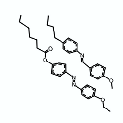 CCCCCCC(=O)Oc1ccc(N=Nc2ccc(OCC)cc2)cc1.CCCCc1ccc(N=Cc2ccc(OC)cc2)cc1